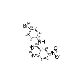 O=[N+]([O-])c1ccc2ncnc(Nc3ccc(Br)cc3)c2c1